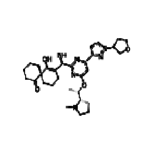 C[C@H](Oc1cc(-c2ccn([C@H]3CCOC3)n2)nc(C(=N)C2=C(O)[C@]3(CCCCC3=O)CCC2)n1)[C@@H]1CCCN1C